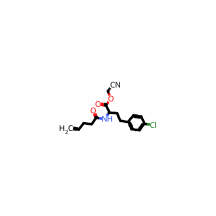 C=CCCC(=O)NC(CCc1ccc(Cl)cc1)C(=O)OCC#N